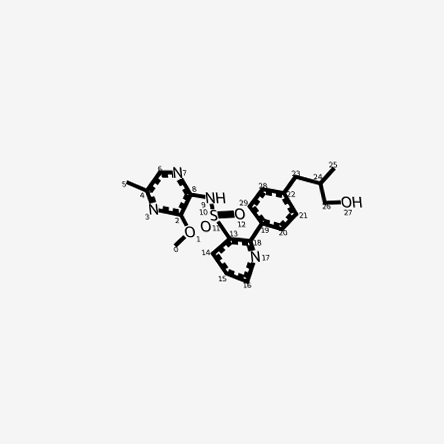 COc1nc(C)cnc1NS(=O)(=O)c1cccnc1-c1ccc(CC(C)CO)cc1